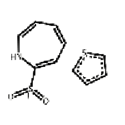 O=[SH](=O)C1=CC=CC=CN1.c1ccsc1